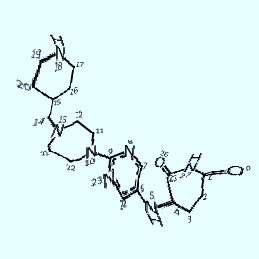 O=C1CCC(Nc2cnc(N3CCN(CC4CCNCC4)CC3)nc2)C(=O)N1